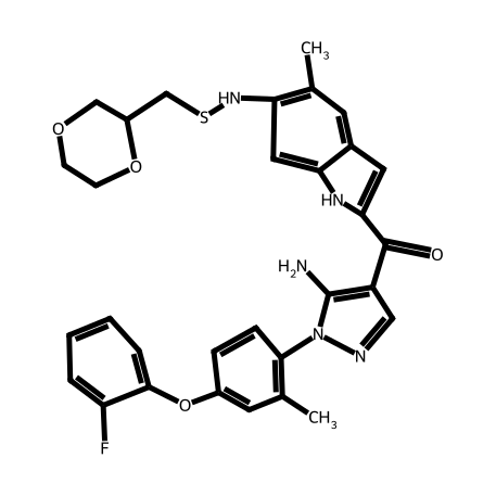 Cc1cc2cc(C(=O)c3cnn(-c4ccc(Oc5ccccc5F)cc4C)c3N)[nH]c2cc1NSCC1COCCO1